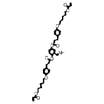 C=CC(=O)OCCCCCCOc1ccc(CCC(=O)Oc2ccc(OC(=O)CCc3ccc(OCCCCCCOC(=O)C=C)cc3)c(C=N)c2)cc1